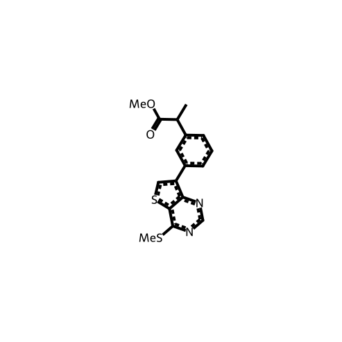 COC(=O)C(C)c1cccc(-c2csc3c(SC)ncnc23)c1